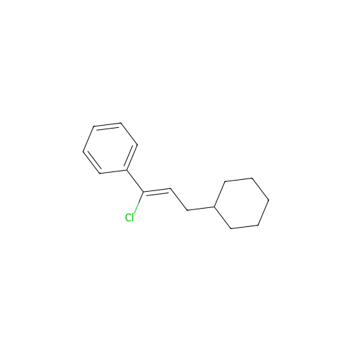 ClC(=CCC1CCCCC1)c1ccccc1